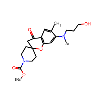 CC(=O)N(CCCO)c1cc2c(cc1C)C(=O)CC1(CCN(C(=O)OC(C)(C)C)CC1)O2